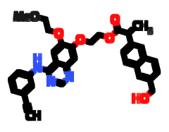 C#Cc1cccc(Nc2ncnc3cc(OCCOC(=O)C(C)c4ccc5cc(CO)ccc5c4)c(OCCOC)cc23)c1